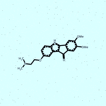 COc1cc2c(cc1OC)-c1[nH]c3ccc(OCCN(C)C)cc3c1C2=O